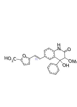 COC1C(=O)Nc2ccc(/C=C/c3ccc(C(=O)O)o3)cc2C1(O)c1ccccc1